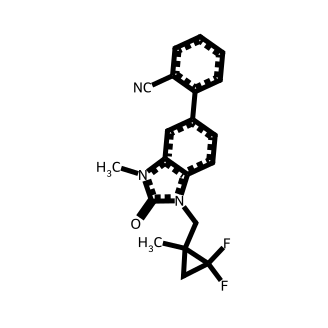 Cn1c(=O)n(CC2(C)CC2(F)F)c2ccc(-c3ccccc3C#N)cc21